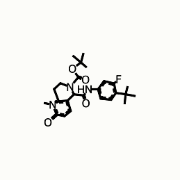 Cn1c2c(ccc1=O)C(C(=O)Nc1ccc(C(C)(C)C)c(F)c1)N(C(=O)OC(C)(C)C)CC2